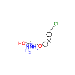 C/C(=C(/N)CO)N(N)CCCOC1=CCC=C(C(C)(C)CC2=CCC=C(CCCCCl)C=C2)C=C1